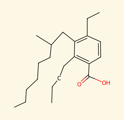 CCCCCCC(C)Cc1c(CC)ccc(C(=O)O)c1CCCC